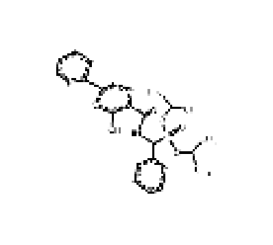 CC(C)OP(=O)(OC(C)C)C(NC(=O)c1cnc(-c2ccccn2)nc1O)c1ccccc1